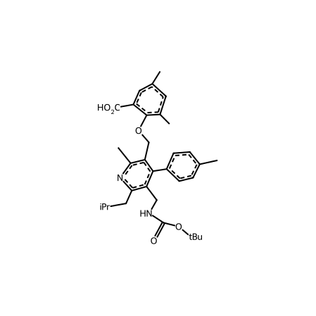 Cc1ccc(-c2c(COc3c(C)cc(C)cc3C(=O)O)c(C)nc(CC(C)C)c2CNC(=O)OC(C)(C)C)cc1